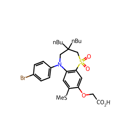 CCCCC1(CCCC)CN(c2ccc(Br)cc2)c2cc(SC)c(OCC(=O)O)cc2S(=O)(=O)C1